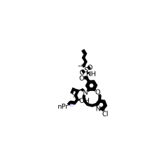 C=CCC[C@@H](C)S(=O)(=O)NC(=O)c1ccc2c(c1)N(C[C@@H]1CC[C@H]1[C@@H](O)/C=C/CCC)CCCCc1nc(Cl)ccc1CO2